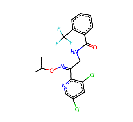 CC(C)ON=C(CNC(=O)c1ccccc1C(F)(F)F)c1ncc(Cl)cc1Cl